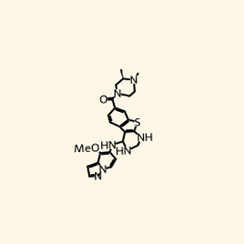 COc1c(NC2NCNc3sc4cc(C(=O)N5CCN(C)[C@H](C)C5)ccc4c32)ccn2nccc12